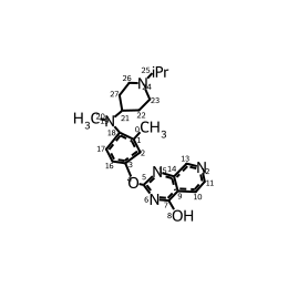 Cc1cc(Oc2nc(O)c3ccncc3n2)ccc1N(C)C1CCN(C(C)C)CC1